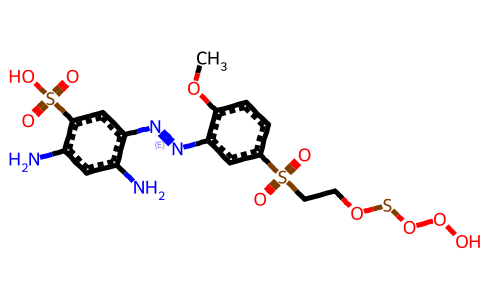 COc1ccc(S(=O)(=O)CCOSOOO)cc1/N=N/c1cc(S(=O)(=O)O)c(N)cc1N